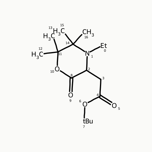 CCN1C(CC(=O)OC(C)(C)C)C(=O)OC(C)(C)C1(C)C